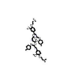 COc1cc(/C=C/C(=NC2CCC(C)CC2)OC(=O)/C=C\C(=O)OC(/C=C/c2ccc(OCCN(C)C)c(OC)c2)=NC2CCC(C)CC2)ccc1OCCN(C)C